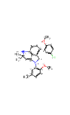 COc1ccc(Cl)cc1-c1ccc2c3c1CN(c1cc(C)ccc1OC)C3=CC(C)(C)N2